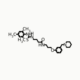 Cc1cc(C)c(NC(=S)NCCCC(=O)NCCCOc2cccc(CN3CCCCC3)c2)c(C)c1